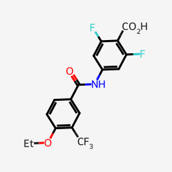 CCOc1ccc(C(=O)Nc2cc(F)c(C(=O)O)c(F)c2)cc1C(F)(F)F